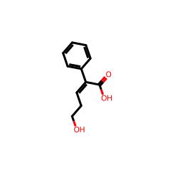 O=C(O)C(=CCCO)c1ccccc1